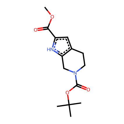 COC(=O)c1cc2c([nH]1)CN(C(=O)OC(C)(C)C)CC2